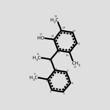 Cc1ccccc1C(C)c1c(C)ccc(C)c1O